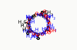 CCCC[C@H]1C(=O)N[C@@H](CCCN)C(=O)NCCSCC(=O)N[C@@H](Cc2ccc(OC)cc2)C(=O)N(C)CC(=O)N[C@@H](CC(N)=O)C(=O)N2CCCC2C(=O)N[C@@H](CN)C(=O)N[C@@H](CCC(=O)O)C(=O)N2CCCC2C(=O)N[C@@H](Cc2c[nH]c3ccccc23)C(=O)N[C@@H](CCN)C(=O)N[C@@H](Cc2c[nH]c3ccccc23)C(=O)N(C)CC(=O)N1C